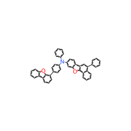 c1ccc(-c2cc3c4ccc(N(c5ccccc5)c5ccc(-c6cccc7c6oc6ccccc67)cc5)cc4oc3c3ccccc23)cc1